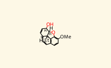 CC[C@]12c3c4ccc(OC)c3O[C@H]1[C@H](O)C=C[C@H]2C=C4